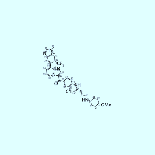 COC1CCC(NC/C=C/C(=O)Nc2ccc(C(=O)c3cnc4c(-c5cc6ncn(C)c6cc5C(F)(F)F)cccn34)cc2C#N)CC1